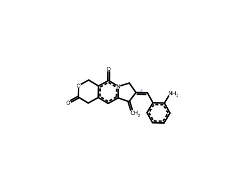 C=C1/C(=C\c2ccccc2N)Cn2c1cc1c(c2=O)COC(=O)C1